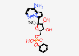 N#C[C@@]1(c2ccc3c(N)ccnn23)O[C@H](COP(=O)(O)Oc2ccccc2)[C@@H](O)[C@H]1O